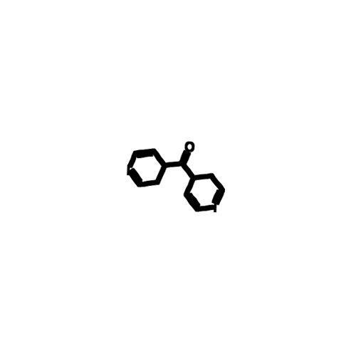 O=C(C1C=CI=CC1)C1C=CI=CC1